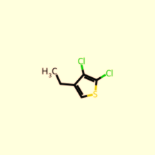 CCc1csc(Cl)c1Cl